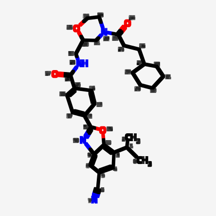 CC(C)c1cc(C#N)cc2nc(-c3ccc(C(=O)NCC4CN(C(=O)CCC5CCCCC5)CCO4)cc3)oc12